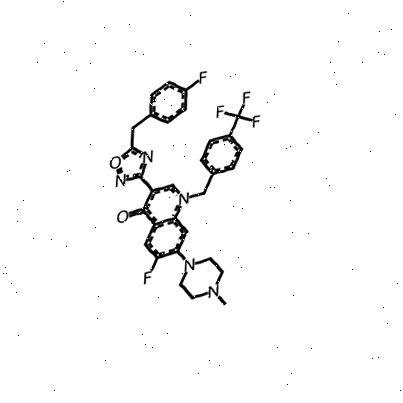 CN1CCN(c2cc3c(cc2F)c(=O)c(-c2noc(Cc4ccc(F)cc4)n2)cn3Cc2ccc(C(F)(F)F)cc2)CC1